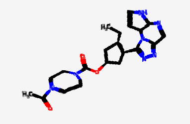 CC[C@@H]1C[C@H](OC(=O)N2CCN(C(C)=O)CC2)C[C@@H]1c1nnc2n1C1C=CNC1N=C2